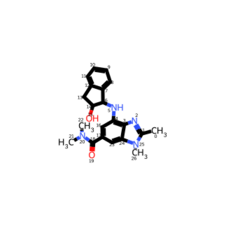 Cc1nc2c(NC3c4ccccc4CC3O)cc(C(=O)N(C)C)cc2n1C